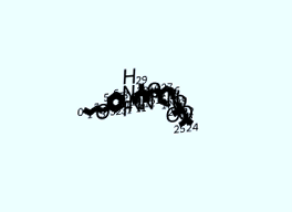 CCCOc1ccc(Nc2ncnc(OC3CCN(OC(=O)OC(C)C)CC3)c2C)c(F)c1